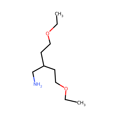 CCOCC[C](CN)CCOCC